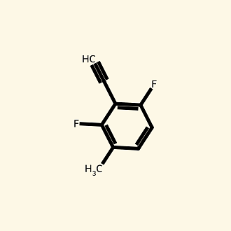 C#Cc1c(F)ccc(C)c1F